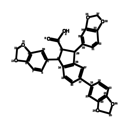 O=C(O)C1C(c2ccc3c(c2)OCO3)c2ccc(-c3ccc4c(c3)OCO4)cc2C1c1ccc2c(c1)OCO2